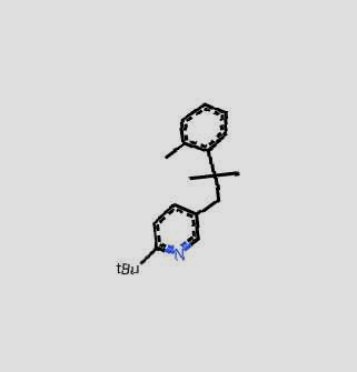 Cc1ccccc1C(C)(C)Cc1ccc(C(C)(C)C)nc1